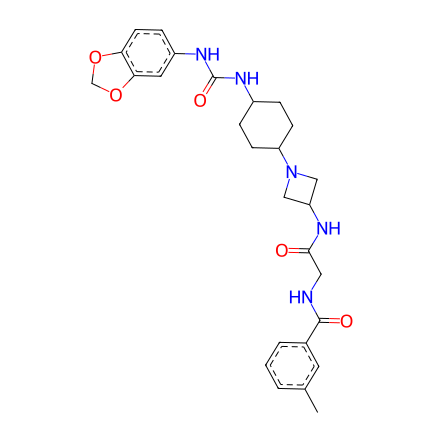 Cc1cccc(C(=O)NCC(=O)NC2CN(C3CCC(NC(=O)Nc4ccc5c(c4)OCO5)CC3)C2)c1